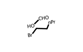 CCCCCBr.O=CO